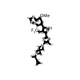 COc1cc(-c2[nH]nc(-c3nc(C)c(N4CC5(C4)CN(C(C)C4CC4)C5)s3)c2CC(F)(F)F)cn2ncnc12